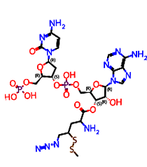 CSSC(CN=[N+]=[N-])CC(N)C(=O)O[C@H]1[C@@H](O)[C@H](n2cnc3c(N)ncnc32)O[C@@H]1COP(=O)(O)O[C@H]1C[C@H](n2ccc(N)nc2=O)O[C@@H]1COP(=O)(O)O